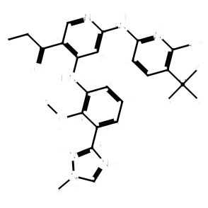 CCC(=O)c1cnc(Nc2ccc(C(C)(C)C)c(F)n2)cc1Nc1cccc(-c2ncn(C)n2)c1OC